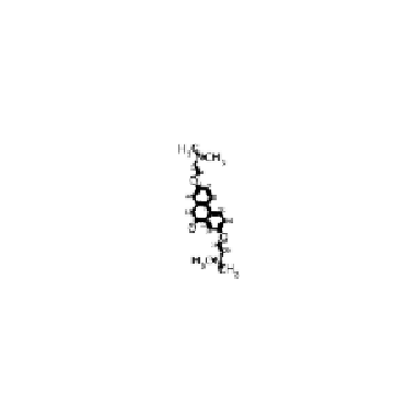 CN(C)CCOc1ccc2c(c1)CC(=O)c1cc(OCCN(C)C)ccc1-2